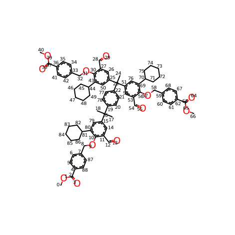 COC(=O)c1ccc(COc2c(C=O)cc(C(C)(C)c3ccc(C(C)(c4cc(C=O)c(OCc5ccc(C(=O)OC)cc5)c(C5CCCCC5)c4)c4cc(C=O)c(OCc5ccc(C(=O)OC)cc5)c(C5CCCCC5)c4)cc3)cc2C2CCCCC2)cc1